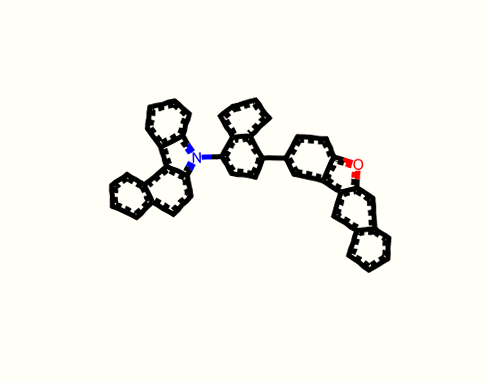 c1ccc2cc3c(cc2c1)oc1ccc(-c2ccc(-n4c5ccccc5c5c6ccccc6ccc54)c4ccccc24)cc13